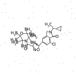 BC1(B)OC(B)(B)C(B)(B)N(C(=O)c2cc(-c3cc(Cl)c4c(c3)CN(C(C)C3CC3)C4=O)on2)C1(B)B